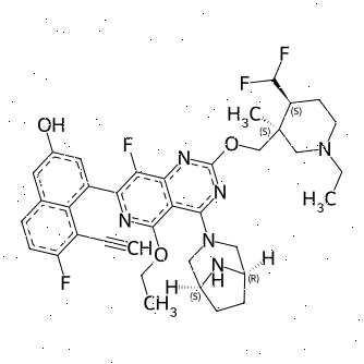 C#Cc1c(F)ccc2cc(O)cc(-c3nc(OCC)c4c(N5C[C@H]6CC[C@@H](C5)N6)nc(OC[C@]5(C)CN(CC)CC[C@@H]5C(F)F)nc4c3F)c12